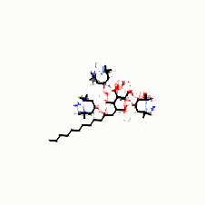 CCCCCCCCCCCCC(C(=O)OC1CC(C)(C)N(C)C(C)(C)C1)C(C(=O)OC1CC(C)(C)N(C)C(C)(C)C1)C(CC(=O)O)C(=O)OC1CC(C)(C)N(C)C(C)(C)C1